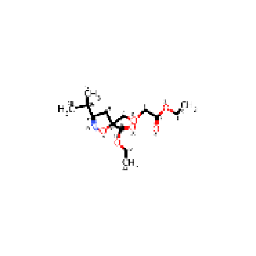 CCOC(=O)COCC1(C(=O)OCC)CC(C(C)C)=NO1